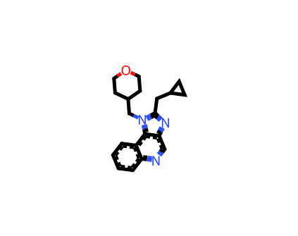 c1ccc2c(c1)ncc1nc(CC3CC3)n(CC3CCOCC3)c12